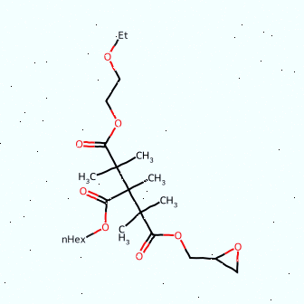 CCCCCCOC(=O)C(C)(C(C)(C)C(=O)OCCOCC)C(C)(C)C(=O)OCC1CO1